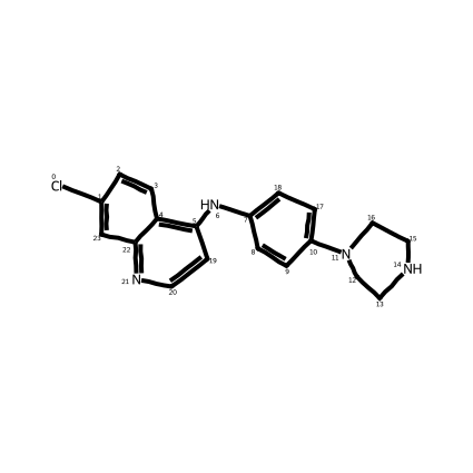 Clc1ccc2c(Nc3ccc(N4CCNCC4)cc3)ccnc2c1